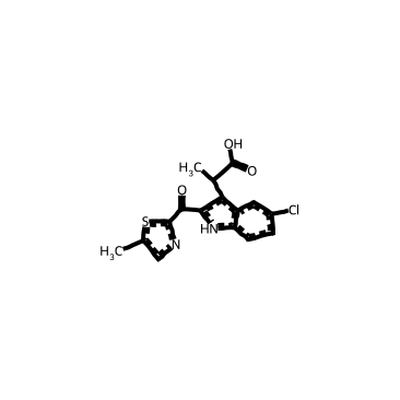 Cc1cnc(C(=O)c2[nH]c3ccc(Cl)cc3c2C(C)C(=O)O)s1